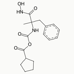 CC(Cc1ccccc1)(NC(=O)OC(=O)C1CCCC1)C(=O)NO